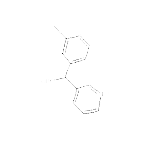 Cc1cccc(C(C=O)c2cccnc2)c1